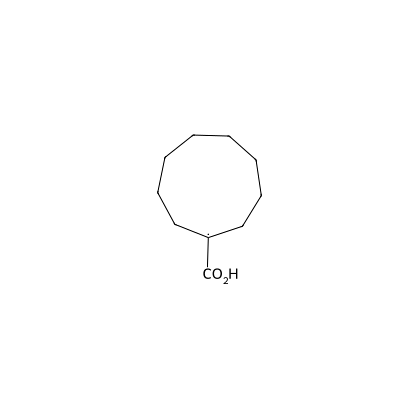 O=C(O)[C]1CCCCCCCC1